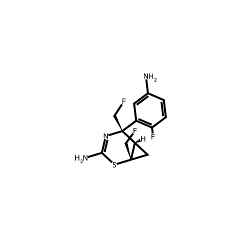 NC1=N[C@](CF)(c2cc(N)ccc2F)[C@@H]2C[C@]2(CF)S1